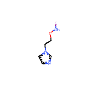 INOCCn1ccnc1